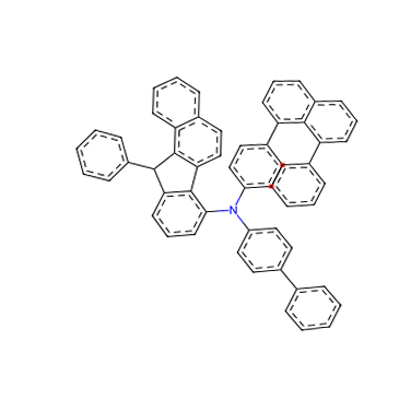 c1ccc(-c2ccc(N(c3ccc(-c4cccc5cccc(-c6ccccc6)c45)cc3)c3cccc4c3-c3ccc5ccccc5c3C4c3ccccc3)cc2)cc1